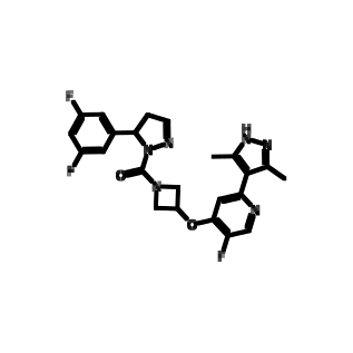 Cc1n[nH]c(C)c1-c1cc(OC2CN(C(=O)N3N=CCC3c3cc(F)cc(F)c3)C2)c(F)cn1